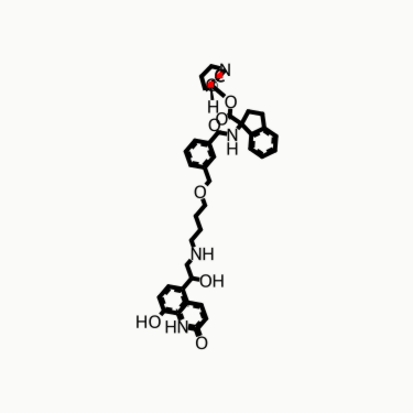 O=C(NC1(C(=O)O[C@H]2CN3CCC2CC3)CCc2ccccc21)c1cccc(COCCCCNCC(O)c2ccc(O)c3[nH]c(=O)ccc23)c1